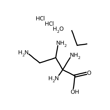 CCC.Cl.Cl.NCC(N)C(N)(N)C(=O)O.O